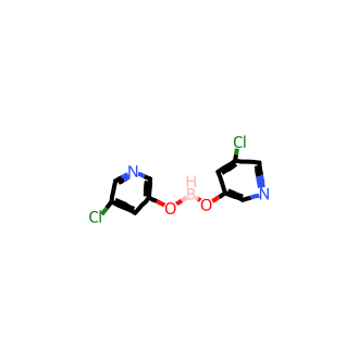 Clc1cncc(OBOc2cncc(Cl)c2)c1